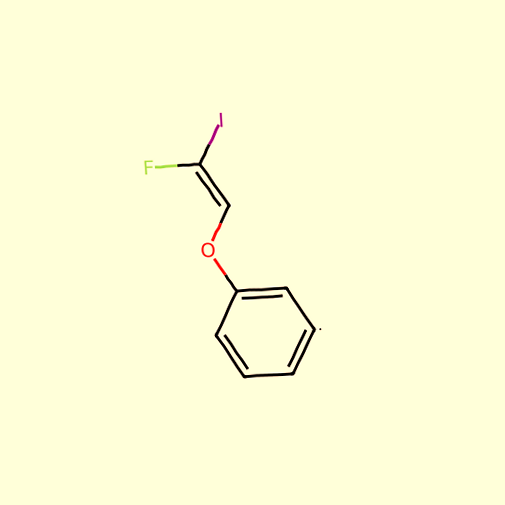 F/C(I)=C\Oc1c[c]ccc1